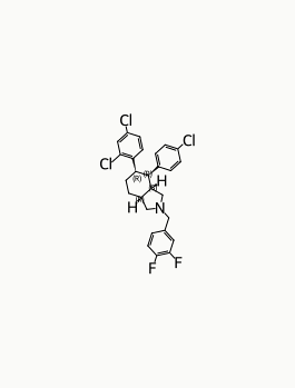 Fc1ccc(CN2C[C@@H]3CC[C@@H](c4ccc(Cl)cc4Cl)[C@@H](c4ccc(Cl)cc4)[C@@H]3C2)cc1F